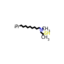 CC(C)CCCCCCCCCN(C)CC(C)S